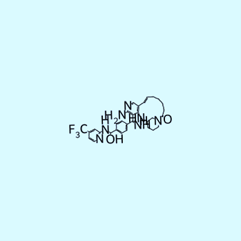 N=C(c1ccc(C(O)Nc2cc(C(F)(F)F)ccn2)cc1)c1c(N)ncc2c1N[C@@H]1CCCN(C1)C(=O)CCCC/C=C/2